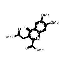 COC(=O)Cc1c(C(=O)OC)oc2cc(OC)c(OC)cc2c1=O